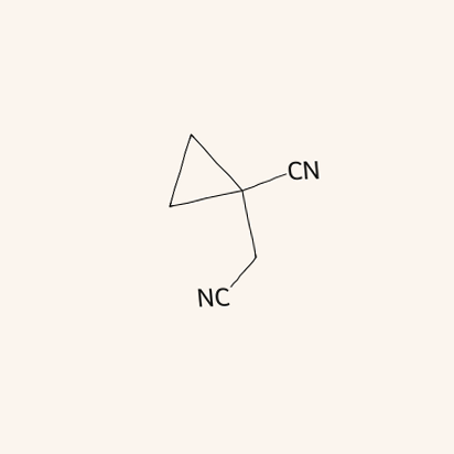 N#CCC1(C#N)CC1